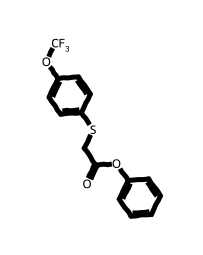 O=C(CSc1ccc(OC(F)(F)F)cc1)Oc1ccccc1